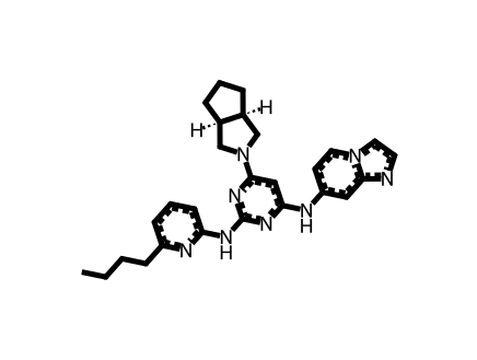 CCCCc1cccc(Nc2nc(Nc3ccn4ccnc4c3)cc(N3C[C@H]4CCC[C@H]4C3)n2)n1